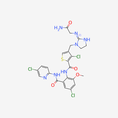 COc1cc(Cl)cc(C(=O)Nc2ccc(Cl)cn2)c1NC(=O)c1scc(CN2CCN/C2=N/CC(N)=O)c1Cl